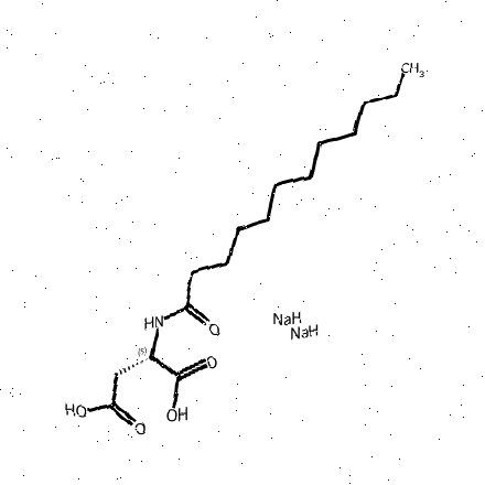 CCCCCCCCCCCC(=O)N[C@@H](CC(=O)O)C(=O)O.[NaH].[NaH]